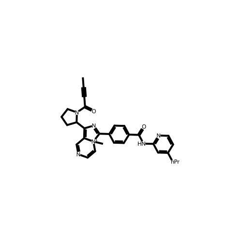 CC#CC(=O)N1CCCC1C1=C2C=NC=C[N+]2(C)C(c2ccc(C(=O)Nc3cc(CCC)ccn3)cc2)=N1